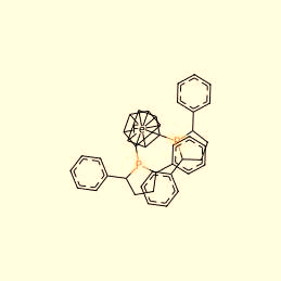 c1ccc(C2CCC(c3ccccc3)P2[C]23[CH]4[CH]5[CH]6[CH]2[Fe]56432789[CH]3[CH]2[CH]7[C]8(P2C(c4ccccc4)CCC2c2ccccc2)[CH]39)cc1